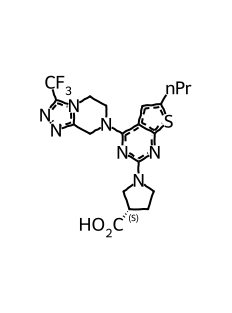 CCCc1cc2c(N3CCn4c(nnc4C(F)(F)F)C3)nc(N3CC[C@H](C(=O)O)C3)nc2s1